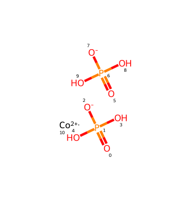 O=P([O-])(O)O.O=P([O-])(O)O.[Co+2]